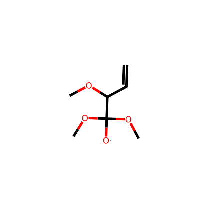 C=CC(OC)C([O])(OC)OC